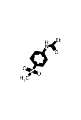 CCC(=O)Nc1ccc(S(C)(=O)=O)cc1